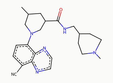 CC1CC(C(=O)NCC2CCN(C)CC2)CN(c2ccc(C#N)c3nccnc23)C1